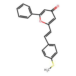 CSc1ccc(/C=C/c2cc(=O)cc(-c3ccccc3)o2)cc1